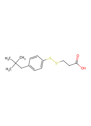 CC(C)(C)Cc1ccc(SSCCC(=O)O)cc1